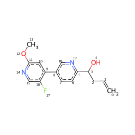 C=CCC(O)c1ccc(-c2cc(OC)ncc2F)cn1